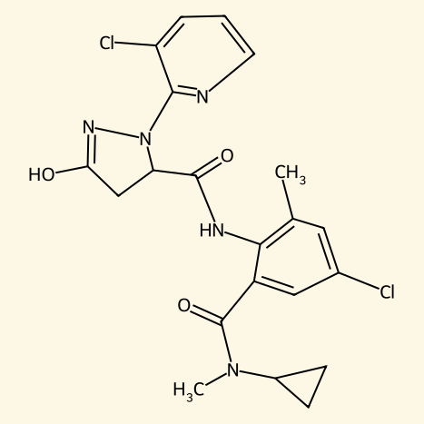 Cc1cc(Cl)cc(C(=O)N(C)C2CC2)c1NC(=O)C1CC(O)=NN1c1ncccc1Cl